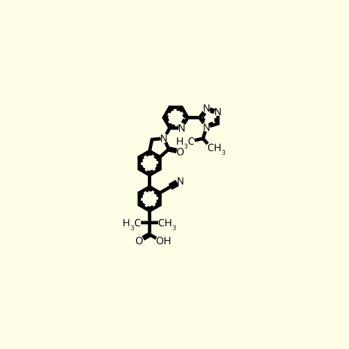 CC(C)n1cnnc1-c1cccc(N2Cc3ccc(-c4ccc(C(C)(C)C(=O)O)cc4C#N)cc3C2=O)n1